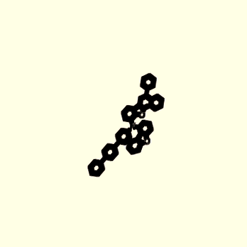 c1ccc(-c2ccc(-c3ccc(N(c4cccc5c4oc4c6ccccc6c(-c6ccccc6)cc54)c4cccc5oc6ccccc6c45)cc3)cc2)cc1